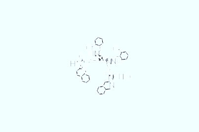 CC(=O)N(CCOC(=O)Nc1ccc2ccccc2n1)NCc1ccccc1Cl.CC(=O)N(CCON(C=O)c1cc2ccccc2cn1)NCc1ccccc1Cl